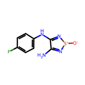 Nc1n[s+]([O-])nc1Nc1ccc(F)cc1